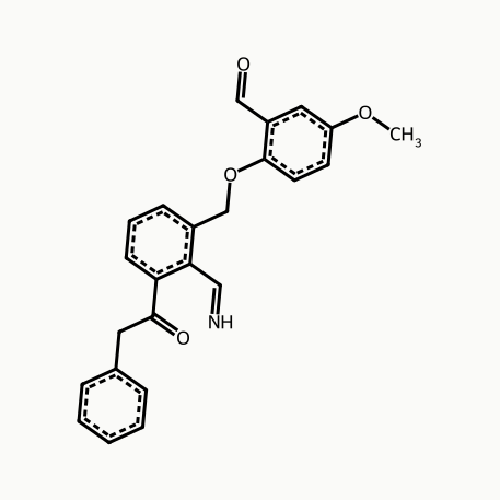 COc1ccc(OCc2cccc(C(=O)Cc3ccccc3)c2C=N)c(C=O)c1